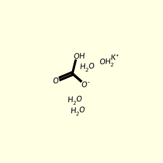 O.O.O.O.O=C([O-])O.[K+]